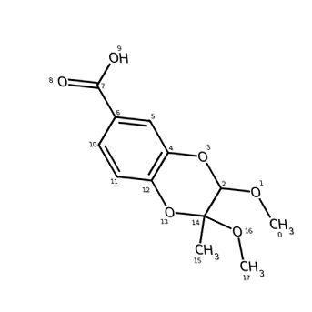 COC1Oc2cc(C(=O)O)ccc2OC1(C)OC